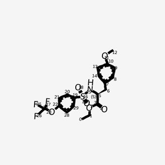 CCOC(=O)[C@H](Cc1ccc(OC)cc1)NS(=O)(=O)c1ccc(OC(F)(F)F)cc1